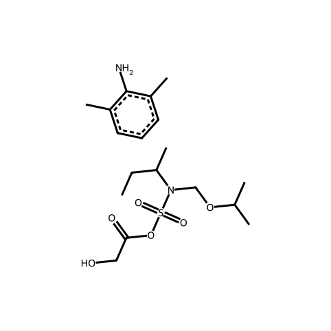 CCC(C)N(COC(C)C)S(=O)(=O)OC(=O)CO.Cc1cccc(C)c1N